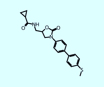 CSc1ccc(-c2ccc(N3CC(CNC(=O)C4CC4)OC3=O)cc2)cc1